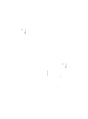 N#Cc1ccc(N=C=O)c(Cl)c1